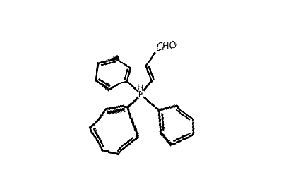 O=CC=C[PH](c1ccccc1)(c1ccccc1)c1ccccc1